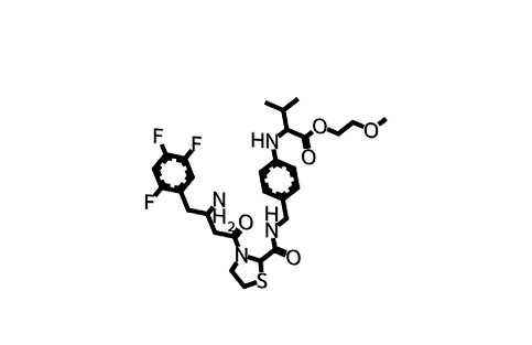 COCCOC(=O)C(Nc1ccc(CNC(=O)C2SCCN2C(=O)CC(N)Cc2cc(F)c(F)cc2F)cc1)C(C)C